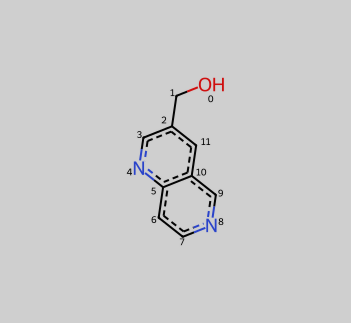 OCc1cnc2ccncc2c1